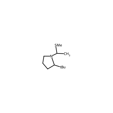 CSC(C)N1CCCC1C(C)(C)C